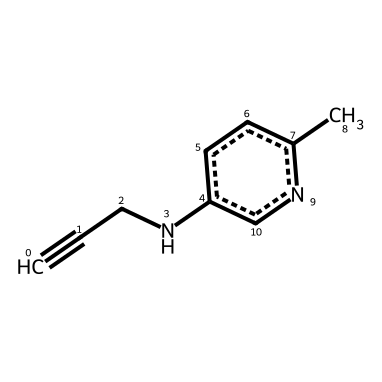 C#CCNc1ccc(C)nc1